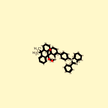 CC1(C)c2ccccc2C2(c3ccccc3Sc3c(-c4ccc(-n5c(-c6ccccc6)nc6ccccc65)cc4)cccc32)c2ccccc21